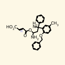 Cc1ccc(OCc2ccccc2)c(C(N)(CC(N)OC(=O)/C=C/C(=O)O)c2ccccc2)c1